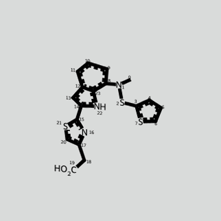 CN(Sc1cccs1)c1cccc2cc(-c3nc(CC(=O)O)cs3)[nH]c12